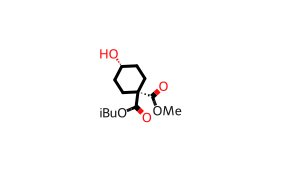 COC(=O)[C@]1(C(=O)OCC(C)C)CC[C@H](O)CC1